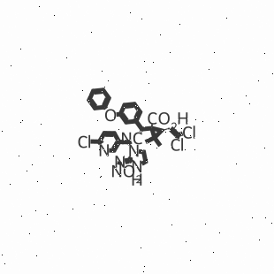 CC1(C)[C@@H](C=C(Cl)Cl)[C@]1(C(=O)O)[C@@H](C#N)c1cccc(Oc2ccccc2)c1.O=[N+]([O-])N=C1NCCN1Cc1ccc(Cl)nc1